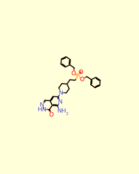 Nc1nc(N2CCC(CCP(=O)(OCc3ccccc3)OCc3ccccc3)CC2)cc2cn[nH]c(=O)c12